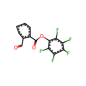 O=Cc1ccccc1C(=O)Oc1c(F)c(F)c(F)c(F)c1F